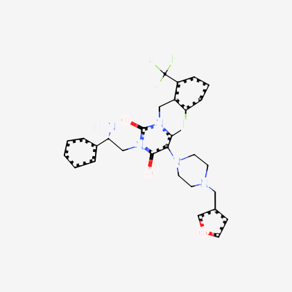 Cc1c(N2CCN(Cc3ccoc3)CC2)c(=O)n(C[C@H](N)c2ccccc2)c(=O)n1Cc1c(F)cccc1C(F)(F)F